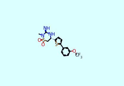 CN1C(=N)N[C@H](c2ccc(-c3cccc(OC(F)(F)F)c3)s2)CS1(=O)=O